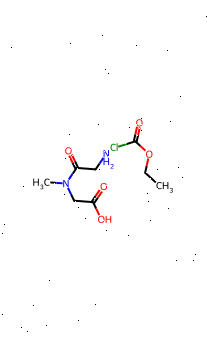 CCOC(=O)Cl.CN(CC(=O)O)C(=O)CN